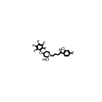 Cl.Fc1ccc2c(CCCN3CCC(Oc4c(F)c(F)c(F)c(F)c4F)CC3)noc2c1